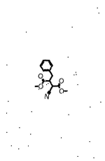 COC(=O)C(C#N)C(Cc1ccccc1)C(=O)OC